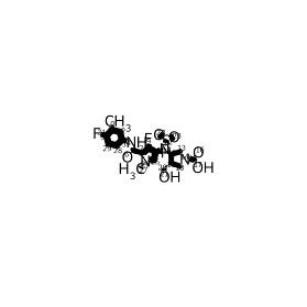 Cc1cc(NC(=O)c2c(F)c(N([C@H]3CN(C(=O)O)C[C@@H]3CO)[SH](=O)=O)cn2C)ccc1F